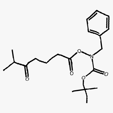 CC(C)C(=O)CCCC(=O)ON(Cc1ccccc1)C(=O)OC(C)(C)C